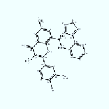 Cc1cc([C@@H](C)Nc2cccnc2-c2nn[nH]n2)c2oc(-c3ccc(F)c(C)c3)c(C)c(=O)c2c1